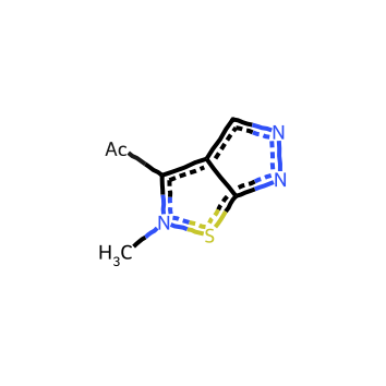 CC(=O)c1c2cnnc-2sn1C